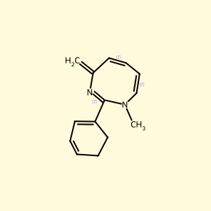 C=C1/C=C\C=C/N(C)/C(C2=CC=CCC2)=N\1